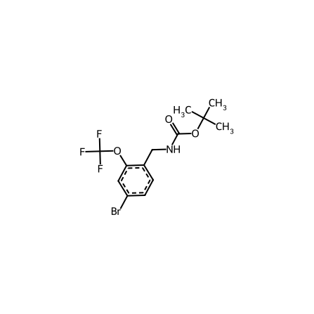 CC(C)(C)OC(=O)NCc1ccc(Br)cc1OC(F)(F)F